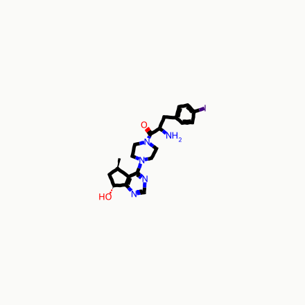 C[C@@H]1C[C@@H](O)c2ncnc(N3CCN(C(=O)C(N)Cc4ccc(I)cc4)CC3)c21